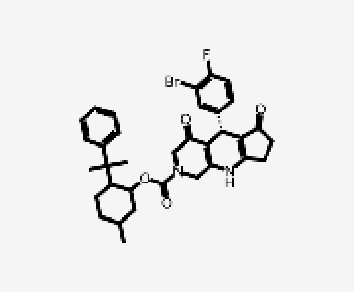 CC1CCC(C(C)(C)c2ccccc2)C(OC(=O)N2CC(=O)C3=C(C2)NC2=C(C(=O)CC2)[C@H]3c2ccc(F)c(Br)c2)C1